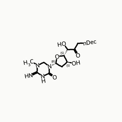 CCCCCCCCCCCC(=O)C(O)[C@H]1O[C@@H](N2CN(C)C(=N)NC2=O)C[C@@H]1O